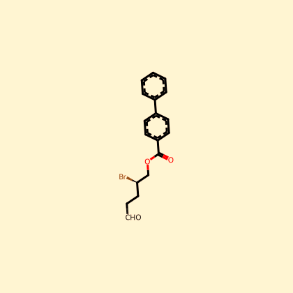 O=CCC[C@@H](Br)COC(=O)c1ccc(-c2ccccc2)cc1